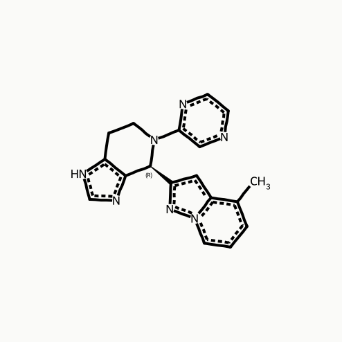 Cc1cccn2nc([C@H]3c4nc[nH]c4CCN3c3cnccn3)cc12